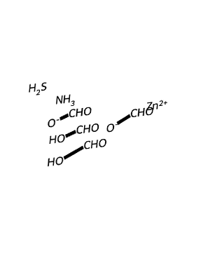 N.O=CO.O=CO.O=C[O-].O=C[O-].S.[Zn+2]